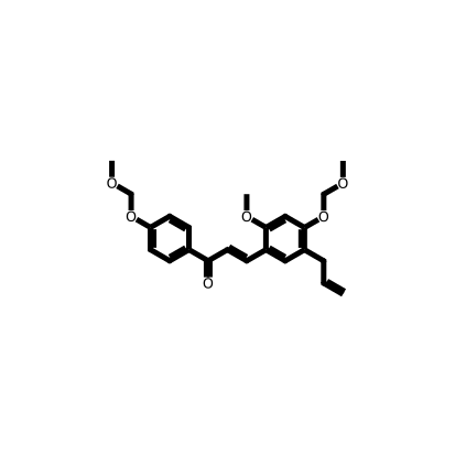 C=CCc1cc(C=CC(=O)c2ccc(OCOC)cc2)c(OC)cc1OCOC